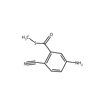 CSC(=O)c1cc(N)ccc1C#N